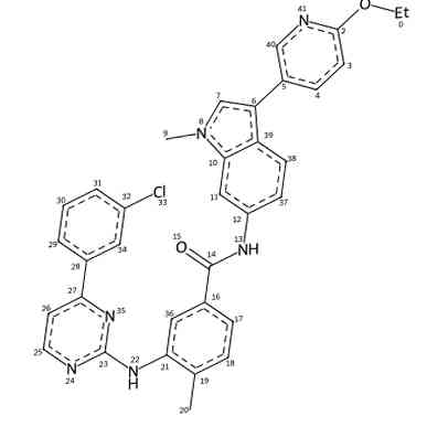 CCOc1ccc(-c2cn(C)c3cc(NC(=O)c4ccc(C)c(Nc5nccc(-c6cccc(Cl)c6)n5)c4)ccc23)cn1